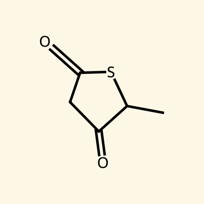 CC1SC(=O)CC1=O